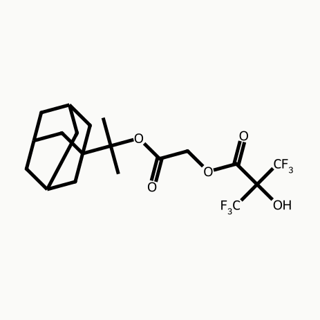 CC(C)(OC(=O)COC(=O)C(O)(C(F)(F)F)C(F)(F)F)C12CC3CC(CC(C3)C1)C2